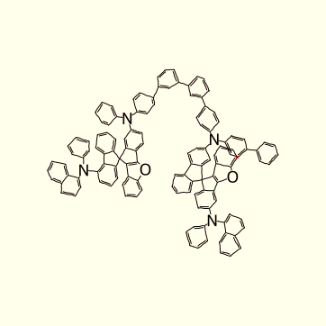 c1ccc(-c2ccc(N(c3ccc(-c4cccc(-c5cccc(-c6ccc(N(c7ccccc7)c7ccc8c(c7)C7(c9ccccc9-c9c(N(c%10ccccc%10)c%10cccc%11ccccc%10%11)cccc97)c7c-8oc8ccccc78)cc6)c5)c4)cc3)c3ccc4c(c3)C3(c5ccccc5-4)c4ccc(N(c5ccccc5)c5cccc6ccccc56)cc4-c4oc5ccccc5c43)cc2)cc1